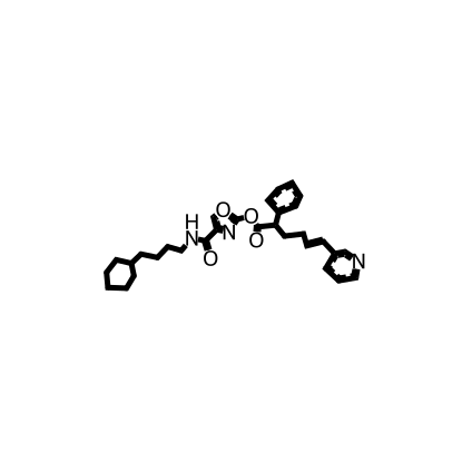 O=C(NCCCCC1CCCCC1)c1coc(OC(=O)C(CCC=Cc2cccnc2)c2ccccc2)n1